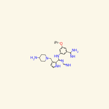 CC(C)Oc1cc(N/C(=N/C=N)c2[nH]ccc2CN2CCC(N)CC2)cc(C(=N)N)c1